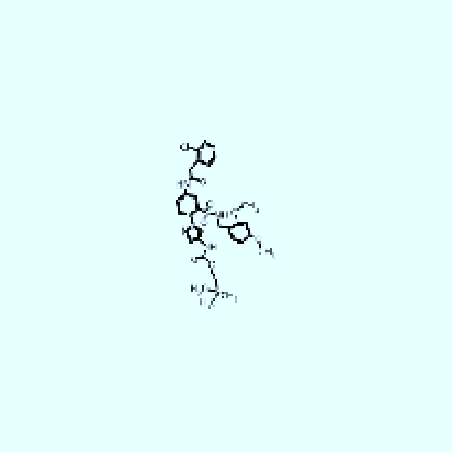 COc1ccc(CNS(=O)(=O)c2cc(NC(=O)Cc3ccccc3Cl)ccc2-n2cc(NC(=O)OCCS(C)(C)C)cn2)c(OC)c1